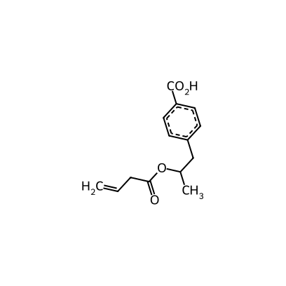 C=CCC(=O)OC(C)Cc1ccc(C(=O)O)cc1